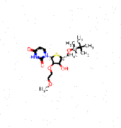 COCCOC1C(O)[C@@H](CO[Si](C)(C)C(C)(C)C)S[C@H]1n1ccc(=O)[nH]c1=O